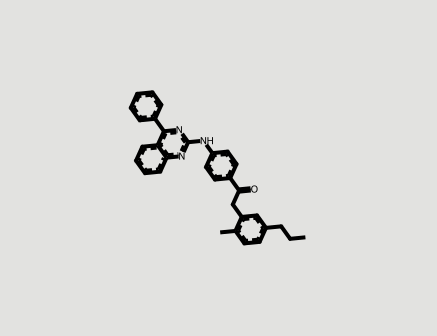 CCCc1ccc(C)c(CC(=O)c2ccc(Nc3nc(-c4ccccc4)c4ccccc4n3)cc2)c1